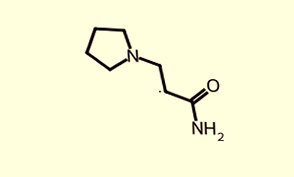 NC(=O)[CH]CN1CCCC1